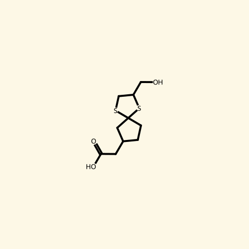 O=C(O)CC1CCC2(C1)SCC(CO)S2